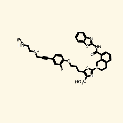 CC(C)NCCNCC#Cc1ccc(OCCCc2sc(N3CCc4cccc(C(=O)Nc5nc6ccccc6s5)c4C3)nc2C(=O)O)c(F)c1